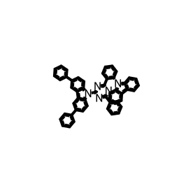 c1ccc(-c2ccc3c(c2)c2cc(-c4ccccc4)ccc2n3-c2nc(-c3ccccc3)nc(-c3ccccc3-n3c4ccccc4c4ccccc43)n2)cc1